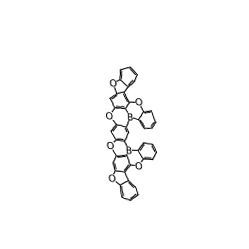 c1ccc2c(c1)Oc1c3c(cc4oc5ccccc5c14)Oc1cc4c(cc1B23)B1c2ccccc2Oc2c1c(cc1oc3ccccc3c21)O4